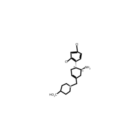 N[C@H]1CC(CN2CCC(C(=O)O)CC2)=CC[C@@H]1c1ccc(Cl)cc1Cl